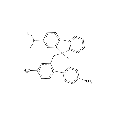 CCN(CC)c1ccc2c(c1)C1(Cc3cc(C)ccc3-c3ccc(C)cc3C1)c1ccccc1-2